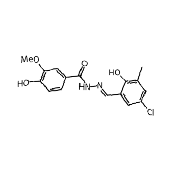 COc1cc(C(=O)N/N=C/c2cc(Cl)cc(C)c2O)ccc1O